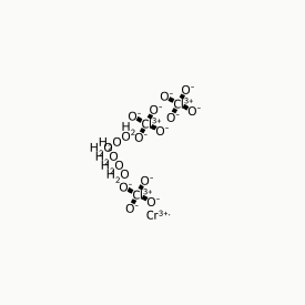 O.O.O.O.O.O.[Cr+3].[O-][Cl+3]([O-])([O-])[O-].[O-][Cl+3]([O-])([O-])[O-].[O-][Cl+3]([O-])([O-])[O-]